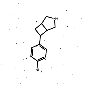 Nc1ccc(C2CC3CNCC32)cc1